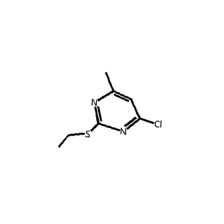 CCSc1nc(C)cc(Cl)n1